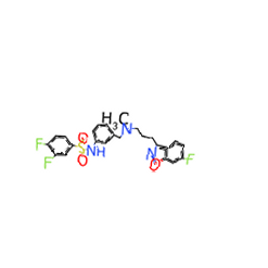 CN(CCCc1noc2cc(F)ccc12)Cc1cccc(NS(=O)(=O)c2ccc(F)c(F)c2)c1